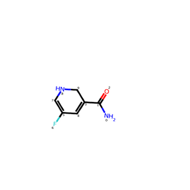 NC(=O)C1=CC(F)=CNC1